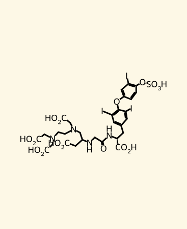 O=C(O)CC(CN(CCN(CC(=O)O)CC(=O)O)CC(=O)O)NCC(=O)N[C@@H](Cc1cc(I)c(Oc2ccc(OS(=O)(=O)O)c(I)c2)c(I)c1)C(=O)O